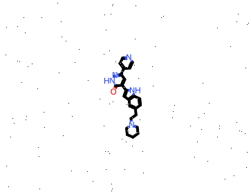 O=c1[nH]nc(-c2ccncc2)cc1-c1cc2cc(CCN3CCCCC3)ccc2[nH]1